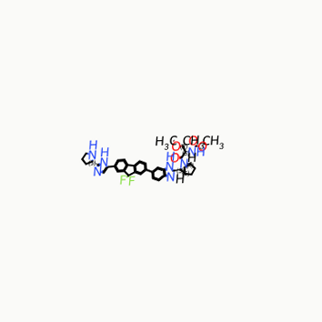 COC(=O)N[C@H](C(=O)N1[C@@H]2CC[C@@H](C2)[C@H]1c1nc2ccc(-c3ccc4c(c3)C(F)(F)c3cc(-c5cnc([C@@H]6CCCN6)[nH]5)ccc3-4)cc2[nH]1)[C@@H](C)OC